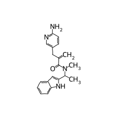 C=C(Cc1ccc(N)nc1)C(=O)N(C)C(C)c1cc2ccccc2[nH]1